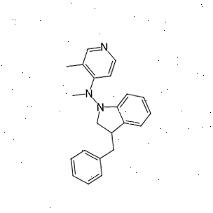 Cc1cnccc1N(C)N1CC(Cc2ccccc2)c2ccccc21